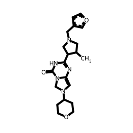 CC1CN(Cc2ccoc2)CC1C1=NC2=CN(C3CCOCC3)CN2C(=O)N1